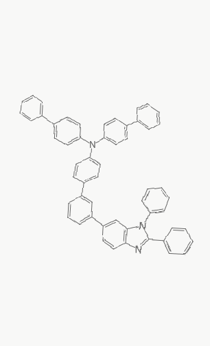 c1ccc(-c2ccc(N(c3ccc(-c4ccccc4)cc3)c3ccc(-c4cccc(-c5ccc6nc(-c7ccccc7)n(-c7ccccc7)c6c5)c4)cc3)cc2)cc1